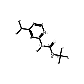 CC(C)c1ccnc(N(C)C(=O)OC(C)(C)C)c1